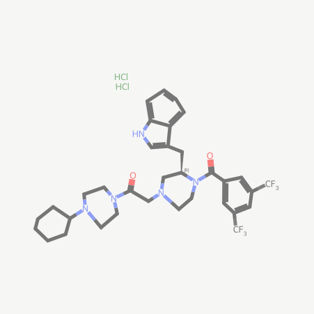 Cl.Cl.O=C(CN1CCN(C(=O)c2cc(C(F)(F)F)cc(C(F)(F)F)c2)[C@H](Cc2c[nH]c3ccccc23)C1)N1CCN(C2CCCCC2)CC1